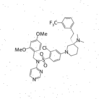 COc1ccc(CN(c2ccncn2)S(=O)(=O)c2ccc(N3CCC[C@](CCc4cccc(C(F)(F)F)c4)(N(C)C)C3)cc2Cl)c(OC)c1